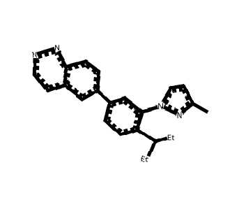 CCC(CC)c1ccc(-c2ccc3nnccc3c2)cc1-n1ccc(C)n1